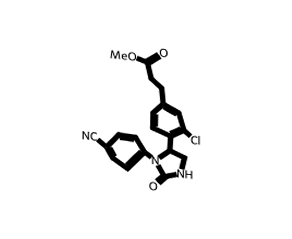 COC(=O)CCc1ccc(C2CNC(=O)N2c2ccc(C#N)cc2)c(Cl)c1